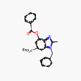 CCOC(=O)c1cc(OC(=O)c2ccccc2)c2nc(C)n(Cc3ccccc3)c2c1